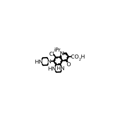 CC(C)n1cc(C(=O)O)c(=O)c2c3c(c(N4CCNCC4)c(Cl)c21)NCCN3